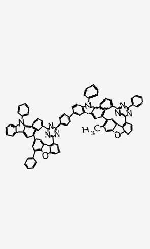 Cc1cc2oc3cccc(-c4nc(-c5ccccc5)nc(-c5ccccc5)n4)c3c2cc1-c1ccc2c(c1)c1cc(-c3ccc(-c4nc(-c5ccccc5)nc(-c5cccc6oc7c(-c8ccccc8)cc(-c8ccc9c(c8)c8ccccc8n9-c8ccccc8)cc7c56)n4)cc3)ccc1n2-c1ccccc1